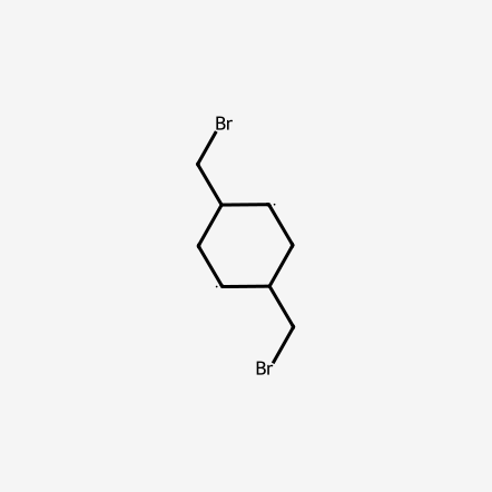 BrCC1[CH]CC(CBr)[CH]C1